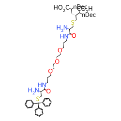 CCCCCCCCCCC(C[C@@H](CSC[C@H](N)C(=O)NCCCOCCOCCOCCCNC(=O)C(N)CSC(c1ccccc1)(c1ccccc1)c1ccccc1)C(CCCCCCCCCC)C(=O)O)C(=O)O